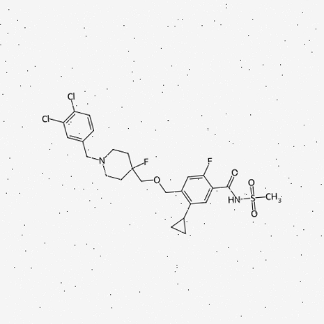 CS(=O)(=O)NC(=O)c1cc(C2CC2)c(COCC2(F)CCN(Cc3ccc(Cl)c(Cl)c3)CC2)cc1F